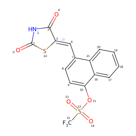 O=C1NC(=O)/C(=C/c2ccc(OS(=O)(=O)C(F)(F)F)c3ccccc23)S1